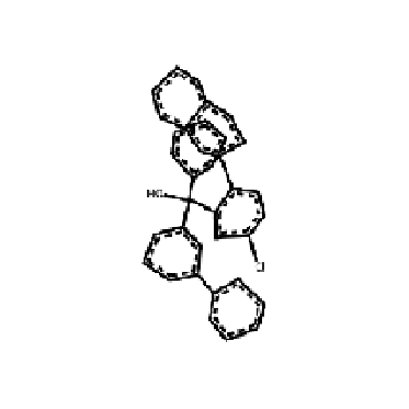 OC(c1ccccc1)(c1cccc(-c2ccccc2)c1)c1cc(Cl)ccc1-c1ccc2ccccc2c1